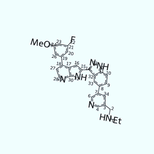 CCNCc1cncc(-c2ccc3[nH]nc(-c4cc5c(-c6cc(F)cc(OC)c6)ccnc5[nH]4)c3c2)c1